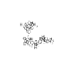 CCOC(=O)[C@H](CCc1ccc(-n2c(=O)c(C)c(C)n(C)c2=O)nc1)NC(=O)c1cc(F)c(NS(=O)(=O)c2ccc(NC(=O)C(C)(C)C)cc2)cc1F